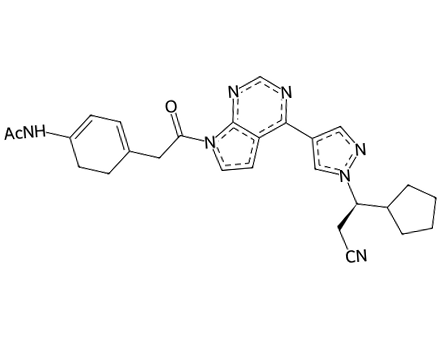 CC(=O)NC1=CC=C(CC(=O)n2ccc3c(-c4cnn([C@H](CC#N)C5CCCC5)c4)ncnc32)CC1